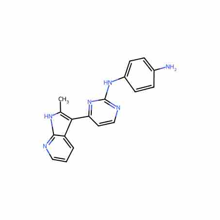 Cc1[nH]c2ncccc2c1-c1ccnc(Nc2ccc(N)cc2)n1